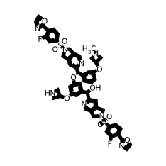 CN1CC(Oc2cccc([C@H](Oc3cc(OC4CNC4)cc(C(O)c4cc5c(cn4)CN(S(=O)(=O)c4ccc(-c6ncco6)c(F)c4)C5)c3)c3cc4c(cn3)CN(S(=O)(=O)c3ccc(-c5ncco5)c(F)c3)C4)c2)C1